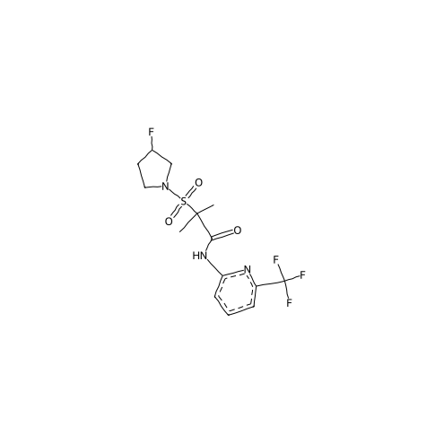 CC(C)(C(=O)Nc1cccc(C(F)(F)F)n1)S(=O)(=O)N1CCC(F)C1